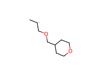 C[CH]COCC1CCOCC1